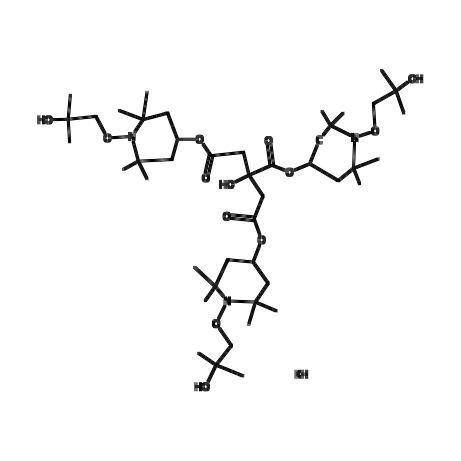 CC(C)(O)CON1C(C)(C)CC(OC(=O)CC(O)(CC(=O)OC2CC(C)(C)N(OCC(C)(C)O)C(C)(C)C2)C(=O)OC2CC(C)(C)N(OCC(C)(C)O)C(C)(C)C2)CC1(C)C.[KH]